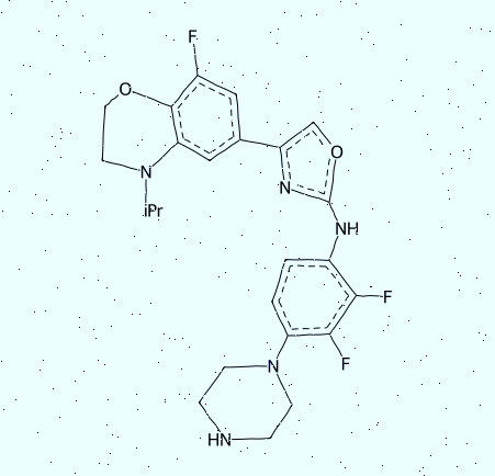 CC(C)N1CCOc2c(F)cc(-c3coc(Nc4ccc(N5CCNCC5)c(F)c4F)n3)cc21